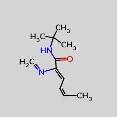 C=N/C(=C\C=C/C)C(=O)NC(C)(C)C